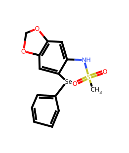 CS(=O)(=O)Nc1cc2c(cc1[Se]c1ccccc1)OCO2